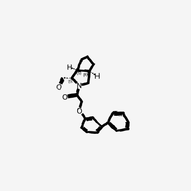 O=C[C@@H]1[C@H]2CCC[C@H]2CN1C(=O)COc1cccc(-c2ccccc2)c1